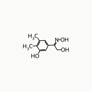 Cc1cc(C(CO)=NO)cc(O)c1C